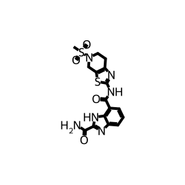 CS(=O)(=O)N1CCc2nc(NC(=O)c3cccc4nc(C(N)=O)[nH]c34)sc2C1